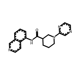 O=C(Nc1cccc2cnccc12)C1CCCN(c2cnccn2)C1